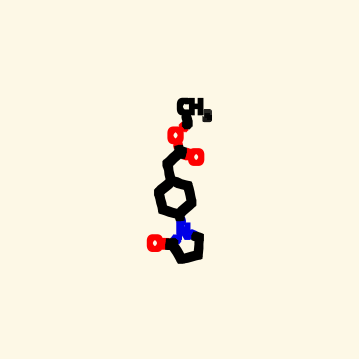 CCOC(=O)CC1CCC(N2CCCC2=O)CC1